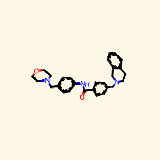 O=C(Nc1ccc(CN2CCOCC2)cc1)c1ccc(CN2CCc3ccccc3C2)cc1